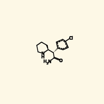 NC(=O)[C@@H](c1ccc(Cl)cc1)[C@@H]1CCCCN1